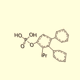 CC(C)c1c(OP(=O)(O)O)ccc(-c2ccccc2)c1-c1ccccc1